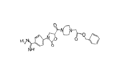 N=C(N)c1ccc(N2CC(C(=O)N3CCN(CC(=O)OCc4ccccc4)CC3)OC2=O)cc1